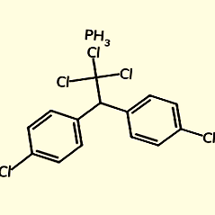 Clc1ccc(C(c2ccc(Cl)cc2)C(Cl)(Cl)Cl)cc1.P